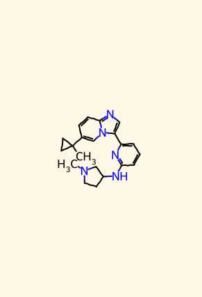 CN1CCC(Nc2cccc(-c3cnc4ccc(C5(C)CC5)cn34)n2)C1